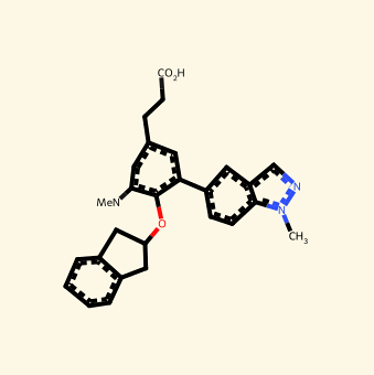 CNc1cc(CCC(=O)O)cc(-c2ccc3c(cnn3C)c2)c1OC1Cc2ccccc2C1